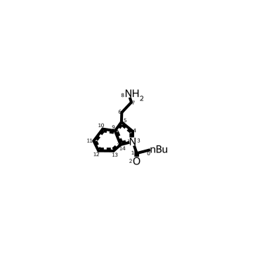 CCCCC(=O)n1cc(CCN)c2ccccc21